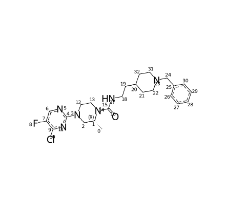 C[C@@H]1CN(c2ncc(F)c(Cl)n2)CCN1C(=O)NCCC1CCN(Cc2ccccc2)CC1